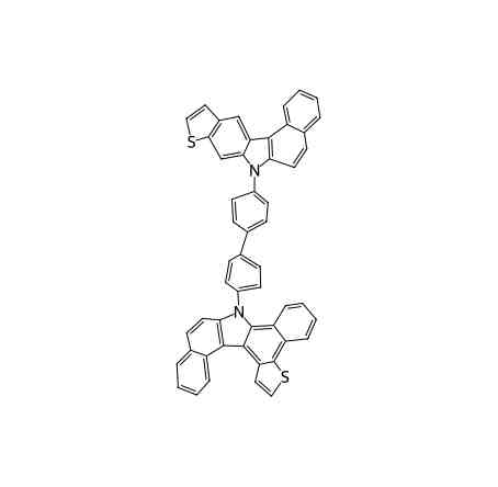 c1ccc2c(c1)ccc1c2c2cc3ccsc3cc2n1-c1ccc(-c2ccc(-n3c4ccc5ccccc5c4c4c5ccsc5c5ccccc5c43)cc2)cc1